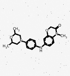 CC1CN(c2ccc(Nc3ccc4c(c3)OCC(=O)N4C)cc2)CC(C)O1